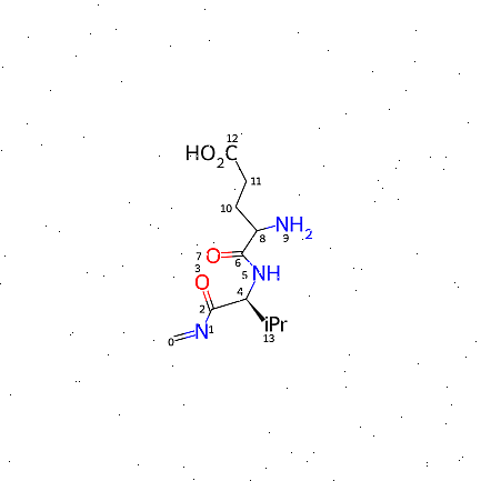 C=NC(=O)[C@@H](NC(=O)C(N)CCC(=O)O)C(C)C